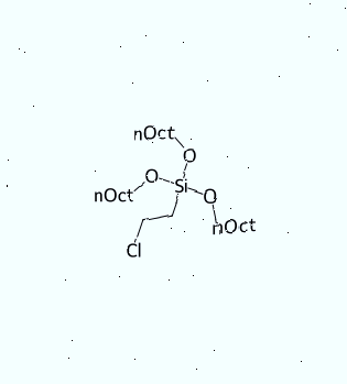 CCCCCCCCO[Si](CCCl)(OCCCCCCCC)OCCCCCCCC